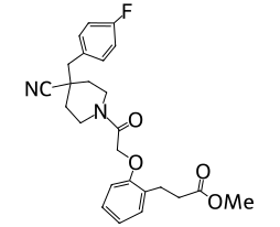 COC(=O)CCc1ccccc1OCC(=O)N1CCC(C#N)(Cc2ccc(F)cc2)CC1